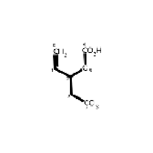 C=CC(CC(Cl)(Cl)Cl)OC(=O)O